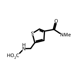 CNC(=O)c1csc(CNC(=O)O)c1